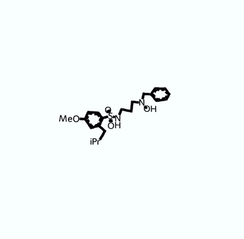 COc1ccc(S(=O)(=O)NCCCN(O)Cc2ccccc2)c(CC(C)C)c1